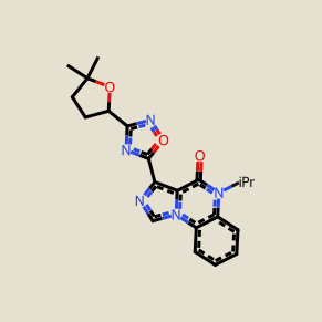 CC(C)n1c(=O)c2c(-c3nc(C4CCC(C)(C)O4)no3)ncn2c2ccccc21